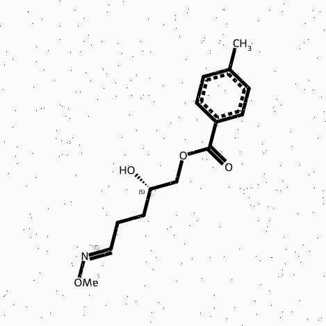 CO/N=C/CC[C@H](O)COC(=O)c1ccc(C)cc1